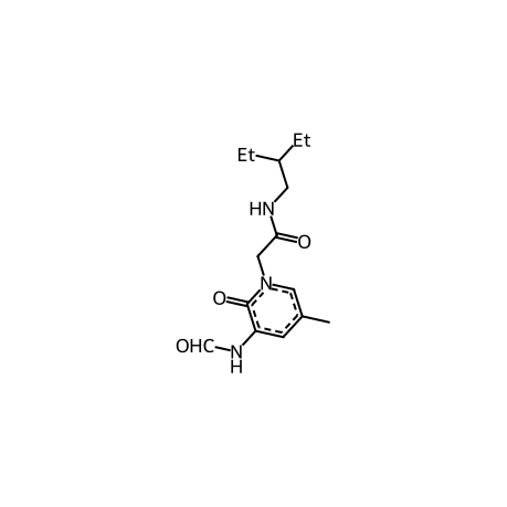 CCC(CC)CNC(=O)Cn1cc(C)cc(NC=O)c1=O